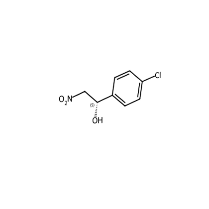 O=[N+]([O-])C[C@@H](O)c1ccc(Cl)cc1